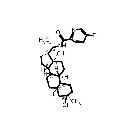 C[C@H](NC(=O)c1ccc(F)cn1)[C@H]1CC[C@H]2[C@@H]3CC[C@@H]4C[C@](C)(O)CC[C@@H]4[C@H]3CC[C@]12C